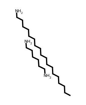 CCCCCCCCCCCCCCCCCCN.NCCCCCCN